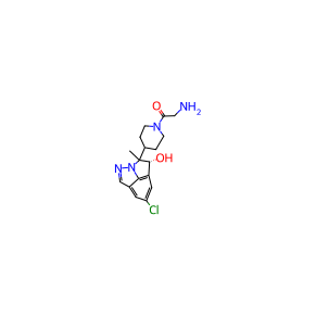 CC1(C2CCN(C(=O)CN)CC2)[C@H](O)c2cc(Cl)cc3cnn1c23